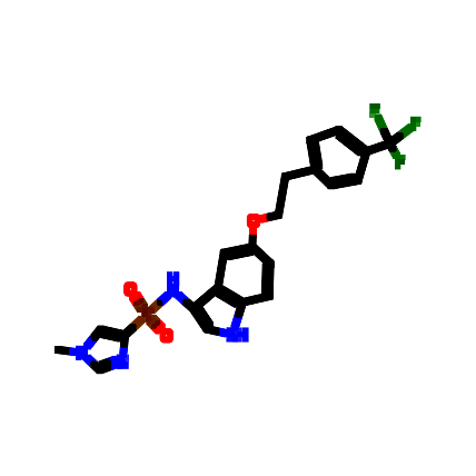 Cn1cnc(S(=O)(=O)Nc2c[nH]c3ccc(OCCc4ccc(C(F)(F)F)cc4)cc23)c1